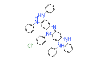 [Cl-].c1ccc(Nc2cc3nc4cc(Nc5ccccc5)c(Nc5ccccc5)cc4[n+](-c4ccccc4)c3cc2Nc2ccccc2)cc1